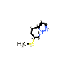 CSC1CCc2ccnn2C1